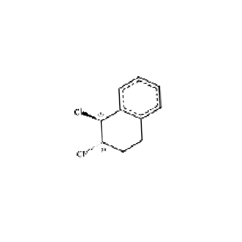 Cl[C@H]1CCc2ccccc2[C@@H]1Cl